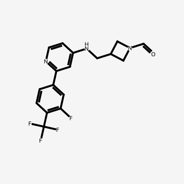 O=CN1CC(CNc2ccnc(-c3ccc(C(F)(F)F)c(F)c3)c2)C1